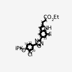 CCOC(=O)CCc1cc2cc(-c3noc(-c4ccc(OC(C)C)c(Cl)c4)n3)cc(F)c2[nH]1